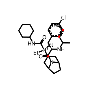 CC[N+](CC)(C(=O)NC1CCCCC1)C1CC2CCC(C1)N2C(=O)[C@@H](Cc1ccc(Cl)cc1)NC(C)/C=N/O